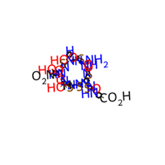 Cc1sc2nc1C(=O)N[C@@H]([C@H](O)c1ccccc1)c1nc(cs1)C(=O)N[C@@H](Cc1ccc(O)c([N+](=O)[O-])c1)C(=O)N1C[C@H](O)[C@H](C)[C@H]1c1nc(cs1)-c1nc(cs1)-c1nc(-c3nc(C(=O)N[C@H]4CC[C@H](C(=O)O)CC4)cs3)ccc1-c1nc(cs1)C(=O)N[C@H]2CC(N)=O